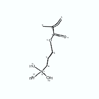 C=C(C)C(=O)OCCC[N+](O)(O)CCC